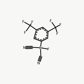 N#C[B-](F)(C#N)c1cc(C(F)(F)F)cc(C(F)(F)F)c1